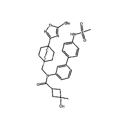 CC1(O)CC(C(=O)N(CC23CCC(c4noc(C(C)(C)C)n4)(CC2)CC3)c2cccc(-c3ccc(NS(C)(=O)=O)cc3)c2)C1